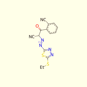 CCSc1nnc(/N=N/C(C#N)C(=O)c2ccccc2C#N)s1